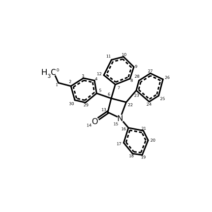 CCc1ccc(C2(c3ccccc3)C(=O)N(c3ccccc3)C2c2ccccc2)cc1